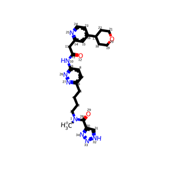 CN(CCCCc1ccc(NC(=O)Cc2cc(C3CCOCC3)ccn2)nn1)C(=O)c1c[nH]nn1